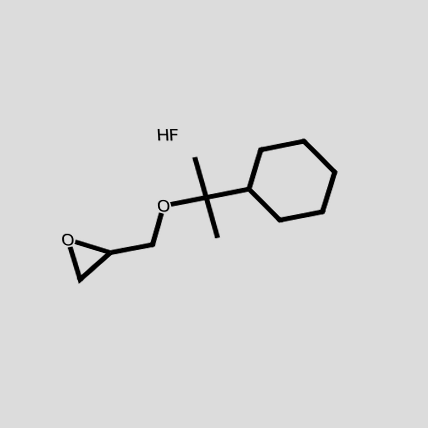 CC(C)(OCC1CO1)C1CCCCC1.F